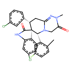 Cc1ccc(F)cc1[C@H]1N2CC(=O)N(C)N=C2C[C@@H](c2cccc(Cl)c2)[C@]12C(=O)Nc1cc(Cl)ccc12